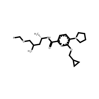 CC(COCF)C[C@H](C)NC(=O)c1ccc(N2CCCC2)c(OCC2CC2)n1